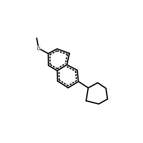 COc1ccc2cc(C3CCCCC3)ccc2c1